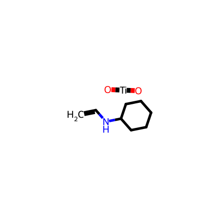 C=CNC1CCCCC1.[O]=[Ti]=[O]